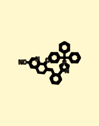 N#Cc1cnc2c(c1)CCC(=Cc1ccccc1-c1cn(C(c3ccccc3)(c3ccccc3)c3ccccc3)cn1)C2=O